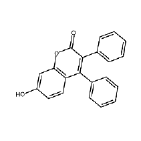 O=c1oc2cc(O)ccc2c(-c2ccccc2)c1-c1ccccc1